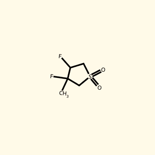 CC1(F)CS(=O)(=O)CC1F